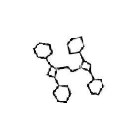 C1CCC(C2CC(C3CCCCC3)P2CCP2C(C3CCCCC3)CC2C2CCCCC2)CC1